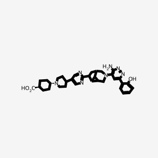 Nc1nnc(-c2ccccc2O)cc1N1CC2CC(c3ncc(C4CCN([C@H]5CC[C@H](C(=O)O)CC5)CC4)cn3)C3C(C1)C23